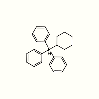 c1ccc([PH](c2ccccc2)(c2ccccc2)C2CCCCC2)cc1